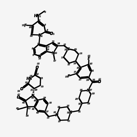 CNc1cc(=O)n(-c2ccnc3c2cc(CN2CCC(c4c(F)cc(C(=O)N5CCC(CN6CCN(Cc7ccc8c(c7)C(C)(C)C(=O)N8[C@H]7CCC(=O)NC7=O)CC6)CC5)cc4F)CC2)n3C)cc1F